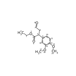 CCOC(=O)C(CC=O)c1ccc(OC)c(OC)c1